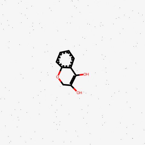 OC1=C(O)c2ccccc2OC1